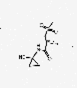 C[C@@H](CS(C)(=O)=O)C(=O)NC1(C#N)CC1